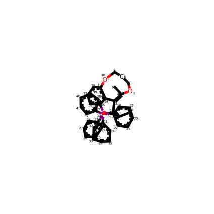 C/C=C(\C1=C(\C)OCCCOc2cccc(P(c3ccccc3)c3ccccc3)c21)P(c1ccccc1)c1ccccc1